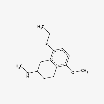 CCSc1ccc(OC)c2c1CC(NC)CC2